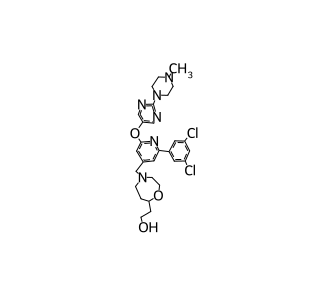 CN1CCN(c2ncc(Oc3cc(CN4CCOC(CCO)CC4)cc(-c4cc(Cl)cc(Cl)c4)n3)cn2)CC1